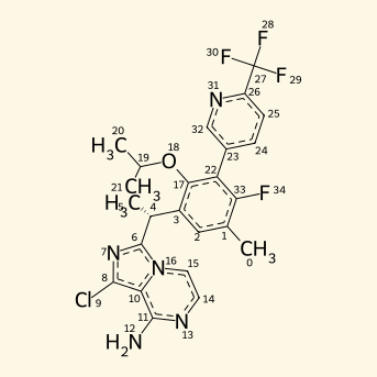 Cc1cc([C@@H](C)c2nc(Cl)c3c(N)nccn23)c(OC(C)C)c(-c2ccc(C(F)(F)F)nc2)c1F